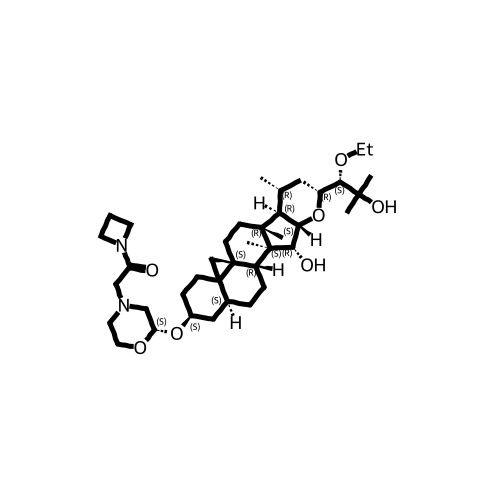 CCO[C@@H]([C@H]1C[C@@H](C)[C@H]2[C@H](O1)[C@H](O)[C@@]1(C)[C@@H]3CC[C@H]4C[C@@H](O[C@H]5CN(CC(=O)N6CCC6)CCO5)CCC45C[C@@]35CC[C@]21C)C(C)(C)O